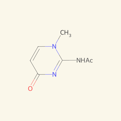 CC(=O)Nc1nc(=O)ccn1C